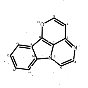 C1=Cc2nccn3c2c(c2ccccc23)O1